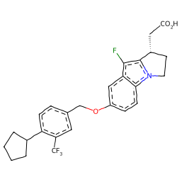 O=C(O)C[C@@H]1CCn2c1c(F)c1cc(OCc3ccc(C4CCCC4)c(C(F)(F)F)c3)ccc12